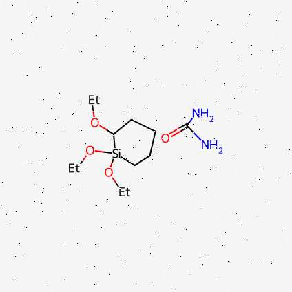 CCOC1CCCC[Si]1(OCC)OCC.NC(N)=O